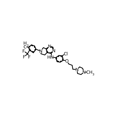 Cc1ccc(N2CCc3c(ncnc3Nc3ccc(OCCCN4CCN(C)CC4)c(Cl)c3)C2)cc1C(F)(F)F